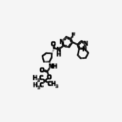 CC(C)(C)OC(=O)N[C@@H]1CCC[C@H](C(=O)Nc2cc(-c3cnn4c3CCCC4)c(F)cn2)C1